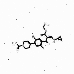 CCOC(=O)/C(=C/NC1CC1)C(=O)c1cc(F)c(C2=CCN(C(C)=O)CC2)cc1F